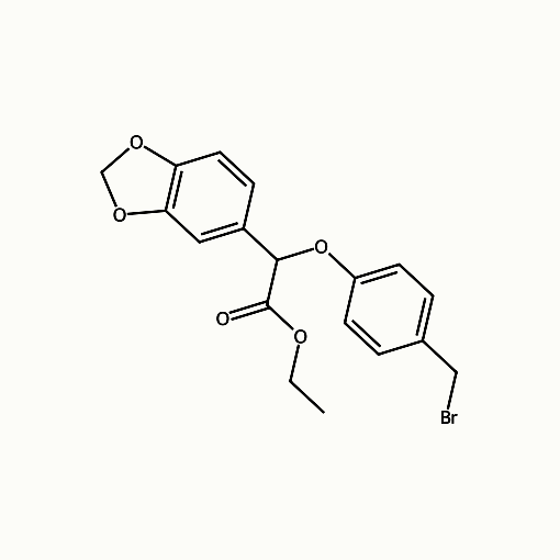 CCOC(=O)C(Oc1ccc(CBr)cc1)c1ccc2c(c1)OCO2